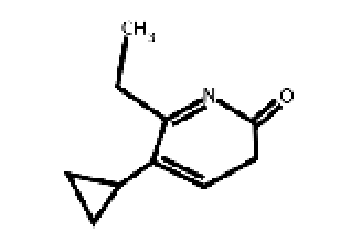 CCC1=NC(=O)CC=C1C1CC1